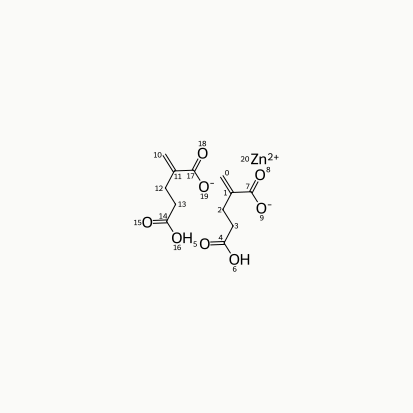 C=C(CCC(=O)O)C(=O)[O-].C=C(CCC(=O)O)C(=O)[O-].[Zn+2]